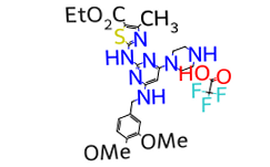 CCOC(=O)c1sc(Nc2nc(NCc3ccc(OC)c(OC)c3)cc(N3CCNCC3)n2)nc1C.O=C(O)C(F)(F)F